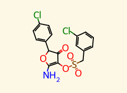 NC1=C(OS(=O)(=O)Cc2cccc(Cl)c2)C(=O)C(c2ccc(Cl)cc2)O1